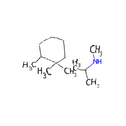 CC1CCCCC1(C)C.CNC(C)C